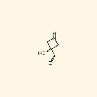 O=CC1(O)CNC1